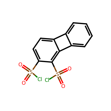 O=S(=O)(Cl)c1ccc2c(c1S(=O)(=O)Cl)-c1ccccc1-2